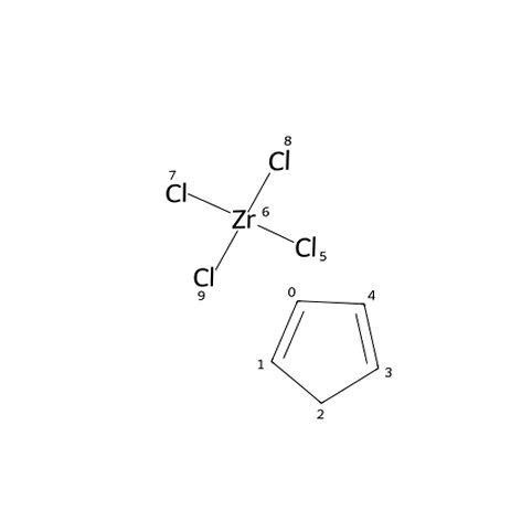 C1=CCC=C1.[Cl][Zr]([Cl])([Cl])[Cl]